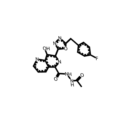 CC(=O)NNC(=O)c1nc(-c2nnc(Cc3ccc(F)cc3)o2)c(O)c2ncccc12